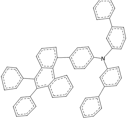 c1ccc(-c2cccc(N(c3ccc(-c4cccc5c(-c6ccccc6)c(-c6ccccc6)c6ccccc6c45)cc3)c3cccc(-c4ccccc4)c3)c2)cc1